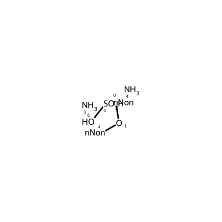 CCCCCCCCCOCCCCCCCCC.N.N.O=S(=O)(O)O